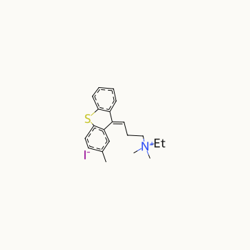 CC[N+](C)(C)CCC=C1c2ccccc2Sc2ccc(C)cc21.[I-]